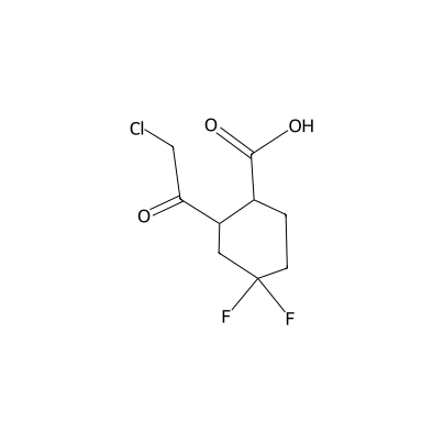 O=C(O)C1CCC(F)(F)CC1C(=O)CCl